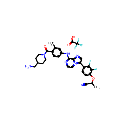 Cc1cc(Nc2nccn3c(-c4ccc(OC(C)C#N)c(F)c4F)cnc23)ccc1C(=O)N1CCC(CN)CC1.O=C(O)C(F)(F)F